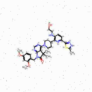 COc1ccc(CN2C(=O)C(C)(C)c3c(N4CCC(c5nc(-c6nnc(C)s6)ccc5NCCO)CC4)ncnc32)c(OC)c1